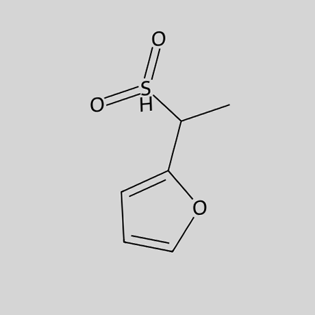 CC(c1ccco1)[SH](=O)=O